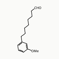 COc1cccc(CCCCCCCC=O)c1